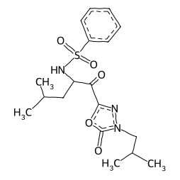 CC(C)CC(NS(=O)(=O)c1ccccc1)C(=O)c1nn(CC(C)C)c(=O)o1